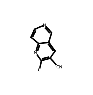 N#Cc1cc2cnccc2nc1Cl